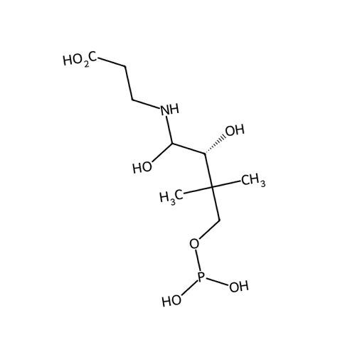 CC(C)(COP(O)O)[C@@H](O)C(O)NCCC(=O)O